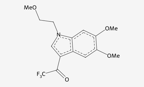 COCCn1cc(C(=O)C(F)(F)F)c2cc(OC)c(OC)cc21